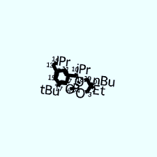 CCCCC1(CC)COP(Oc2c(CC(C)C)cc(CC(C)C)cc2C(C)(C)C)OC1